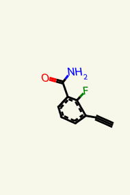 C#Cc1cccc(C(N)=O)c1F